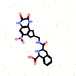 O=C(NCC1Cc2c([N+](=O)[O-])cc3[nH]c(=O)c(=O)[nH]c3c2C1)C1Cc2ccccc2C(C(=O)O)N1